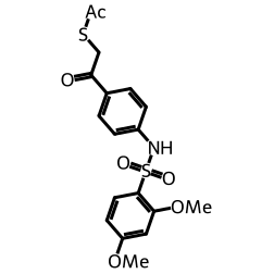 COc1ccc(S(=O)(=O)Nc2ccc(C(=O)CSC(C)=O)cc2)c(OC)c1